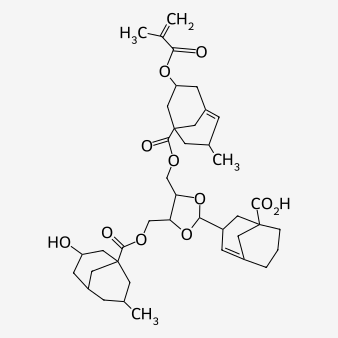 C=C(C)C(=O)OC1CC2=CC(C)CC(C(=O)OCC3OC(C4C=C5CCCC(C(=O)O)(C5)C4)OC3COC(=O)C34CC(C)CC(CC(O)C3)C4)(C2)C1